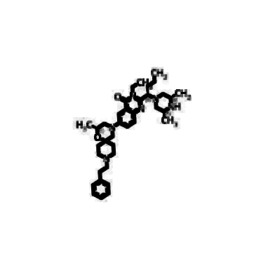 CCC[C@H](c1nc2ccc(N3C[C@H](C)OC4(CCN(CCc5ccccc5)CC4)C3)cc2c(=O)n1CC)N1C[C@@H](C)N[C@@H](C)C1